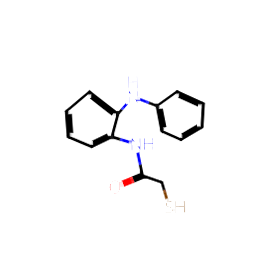 O=C(CS)Nc1ccccc1Nc1ccccc1